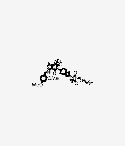 CCCCn1c(=O)n(C2CCC3(CC2)CC(N2C(=O)N(COCC[Si](C)(C)C)C(=O)C2(C)C)C3)c(=O)c2c(NCc3ccc(OC)cc3OC)snc21